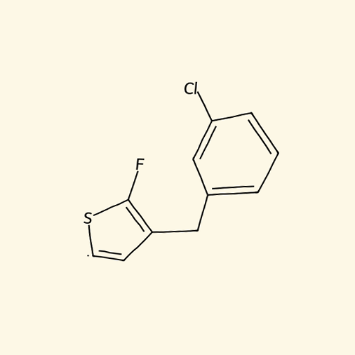 Fc1s[c]cc1Cc1cccc(Cl)c1